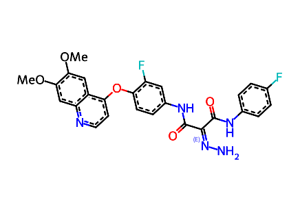 COc1cc2nccc(Oc3ccc(NC(=O)/C(=N/N)C(=O)Nc4ccc(F)cc4)cc3F)c2cc1OC